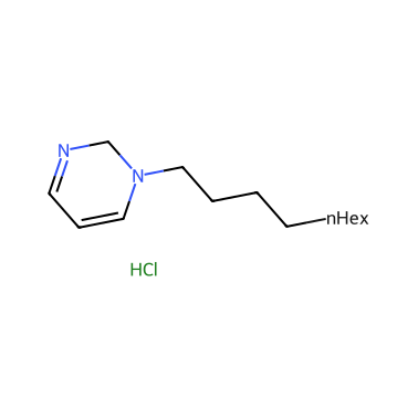 CCCCCCCCCCN1C=CC=NC1.Cl